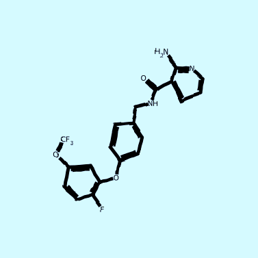 Nc1ncccc1C(=O)NCc1ccc(Oc2cc(OC(F)(F)F)ccc2F)cc1